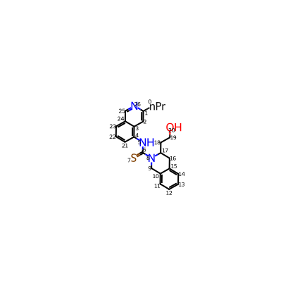 CCCc1cc2c(NC(=S)N3Cc4ccccc4CC3CCO)cccc2cn1